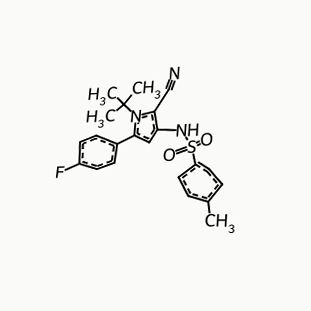 Cc1ccc(S(=O)(=O)Nc2cc(-c3ccc(F)cc3)n(C(C)(C)C)c2C#N)cc1